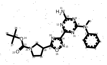 CN(c1ccccc1)c1nc(N)nc(-c2noc(C3CCN(C(=O)OC(C)(C)C)C3)n2)n1